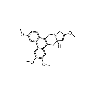 COC1=C[C@@H]2Cc3c(c4ccc(OC)cc4c4cc(OC)c(OC)cc34)CN2C1